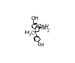 CC(CC(N)=O)(c1ccc(O)cc1)c1ccc(O)cc1